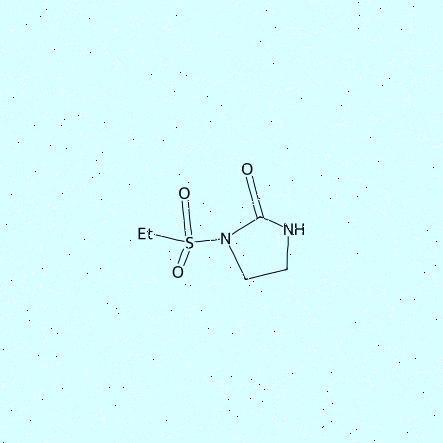 CCS(=O)(=O)N1CCNC1=O